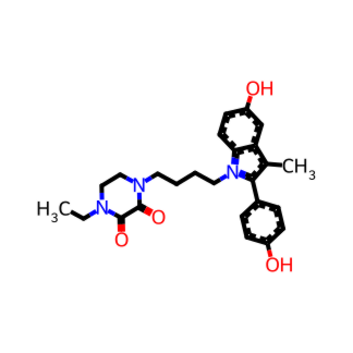 CCN1CCN(CCCCn2c(-c3ccc(O)cc3)c(C)c3cc(O)ccc32)C(=O)C1=O